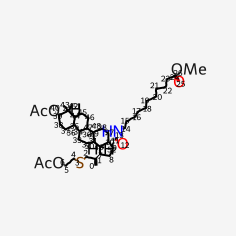 C=C(CSCCOC(C)=O)[C@@H]1CC[C@]2(C(=O)NCCCCCCCCCCC(=O)OC)CC[C@]3(C)[C@H](CCC4[C@@]5(C)CC[C@H](OC(C)=O)C(C)(C)[C@@H]5CC[C@]43C)[C@@H]12